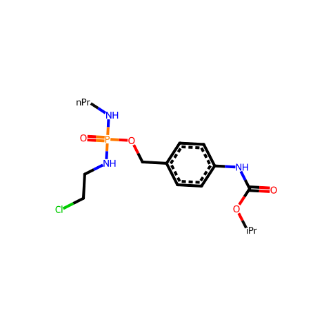 CCCNP(=O)(NCCCl)OCc1ccc(NC(=O)OC(C)C)cc1